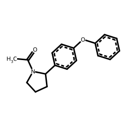 CC(=O)N1CCCC1c1ccc(Oc2ccccc2)cc1